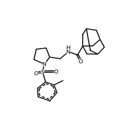 Cc1ccccc1S(=O)(=O)N1CCCC1CNC(=O)C12CC3CC(CC(C3)C1)C2